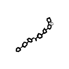 C=C(Cc1ccc(-c2ccc(-c3ccccc3)cc2)cc1)c1ccc(-c2ccc(-c3ccc4oc5ccccc5c4c3)cc2)cc1